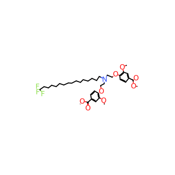 COC(=O)c1ccc(OCCN(CCCCCCCCCCCCCCCC(F)(F)F)CCOc2ccc(C(=O)OC)cc2OC)c(OC)c1